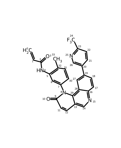 C=CC(=O)Nc1cc(-n2c(=O)ccc3cnc4ccc(-c5ccc(C(F)(F)F)nc5)cc4c32)ccc1C